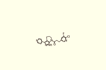 O=C(CCc1cnc(Cl)c(F)c1)N1CCCc2c(-c3ccncc3)n[nH]c21